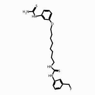 NC(=S)Nc1cccc(OCCCCCCCCNC(=S)Nc2cccc(CF)c2)c1